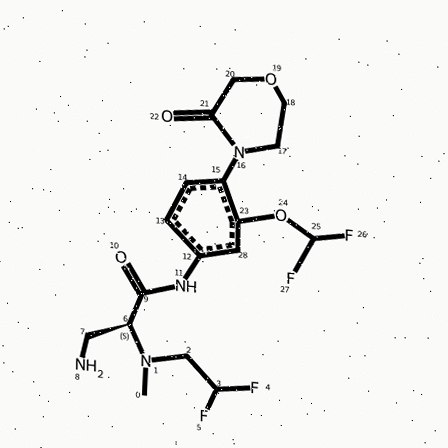 CN(CC(F)F)[C@@H](CN)C(=O)Nc1ccc(N2CCOCC2=O)c(OC(F)F)c1